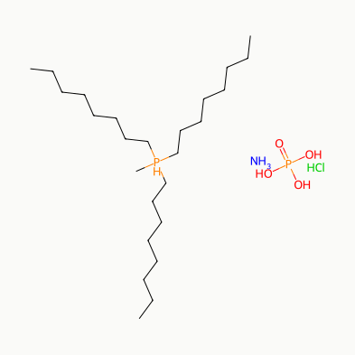 CCCCCCCC[PH](C)(CCCCCCCC)CCCCCCCC.Cl.N.O=P(O)(O)O